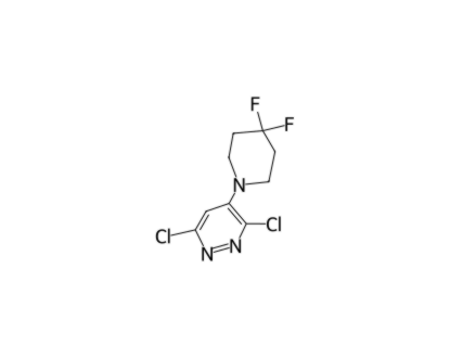 FC1(F)CCN(c2cc(Cl)nnc2Cl)CC1